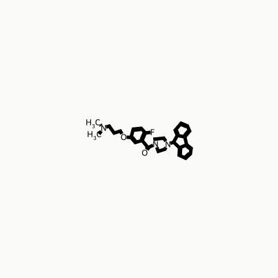 CN(C)CCCOc1ccc(F)c(C(=O)N2CCN(C3c4ccccc4-c4ccccc43)CC2)c1